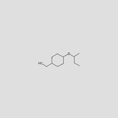 CCC(C)OC1CCC(CO)CC1